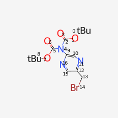 CC(C)(C)OC(=O)N(C(=O)OC(C)(C)C)c1cnc(CBr)cn1